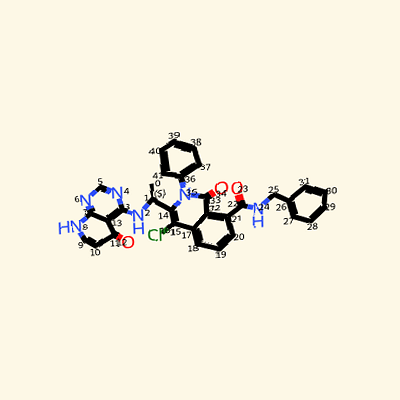 C[C@H](Nc1ncnc2[nH]ccc(=O)c12)c1c(Cl)c2cccc(C(=O)NCc3ccccc3)c2c(=O)n1-c1ccccc1